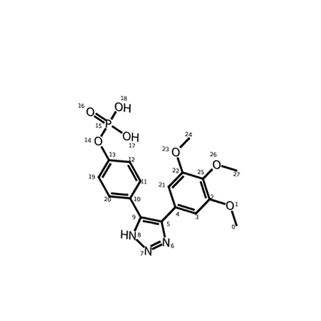 COc1cc(-c2nn[nH]c2-c2ccc(OP(=O)(O)O)cc2)cc(OC)c1OC